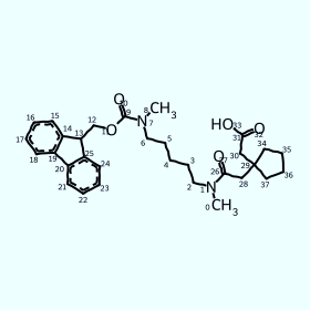 CN(CCCCCN(C)C(=O)OCC1c2ccccc2-c2ccccc21)C(=O)CC1(CC(=O)O)CCCC1